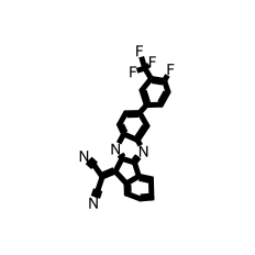 N#CC(C#N)=C1c2ccccc2-c2nc3cc(-c4ccc(F)c(C(F)(F)F)c4)ccc3nc21